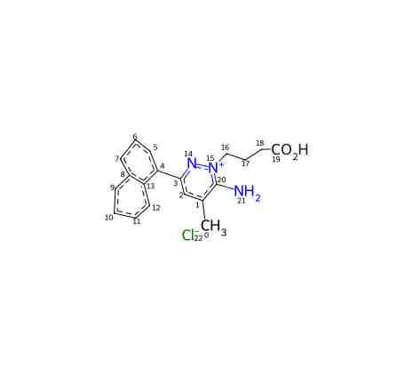 Cc1cc(-c2cccc3ccccc23)n[n+](CCCC(=O)O)c1N.[Cl-]